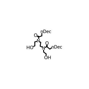 CCCCCCCCCCCC(=O)N(CCO)CCN(CCO)C(=O)CCCCCCCCCCC